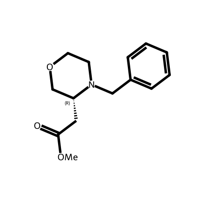 COC(=O)C[C@@H]1COCCN1Cc1ccccc1